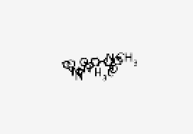 COc1cc(-c2ccc3c(c2)CN(c2cnn(CC4CCCO4)c2)C3=O)cnc1OC